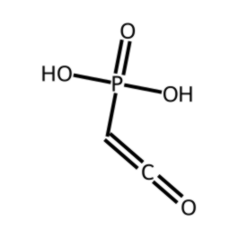 O=C=CP(=O)(O)O